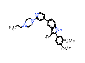 COc1ccc(-c2[nH]c3ccc(-c4ccnc(N5CCN(CCC(F)(F)F)CC5)c4)cc3c2C(C)C)cc1OC